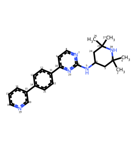 CC1(C)CC(Nc2nccc(-c3ccc(-c4cccnc4)cc3)n2)CC(C)(C)N1